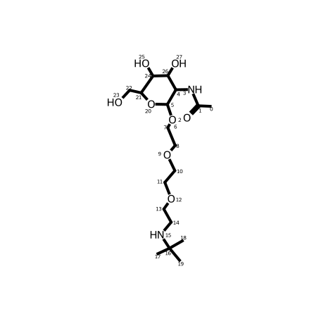 CC(=O)NC1C(OCCOCCOCCNC(C)(C)C)OC(CO)C(O)C1O